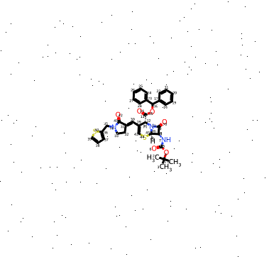 CC(C)(C)OC(=O)N[C@@H]1C(=O)N2[C@@H](C(=O)OC(c3ccccc3)c3ccccc3)C(C=C3CCN(Cc4cccs4)C3=O)=CS[C@H]12